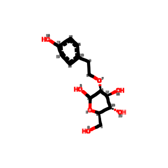 OC[C@H]1OC(O)[C@H](OCCc2ccc(O)cc2)[C@@H](O)[C@@H]1O